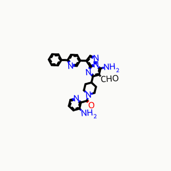 Nc1cccnc1C(=O)N1CCC(c2nc3c(-c4ccc(-c5ccccc5)nc4)cnn3c(N)c2C=O)CC1